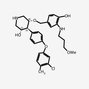 COCCCNc1cc(CO[C@H]2CNC[C@@H](O)[C@@H]2c2ccc(Oc3ccc(C)c(Cl)c3)cc2)ccc1O